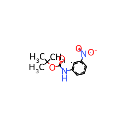 CC(C)(C)OC(=O)Nc1[c]c([N+](=O)[O-])ccc1